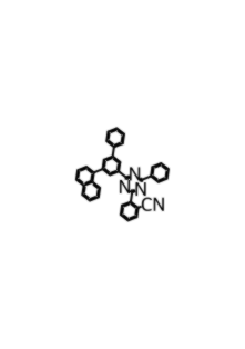 N#Cc1ccccc1-c1nc(-c2ccccc2)nc(-c2cc(-c3ccccc3)cc(-c3cccc4ccccc34)c2)n1